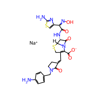 Nc1ccc(CN2CC/C(=C\C3=C(C(=O)[O-])N4C(=O)[C@@H](NC(=O)/C(=N\O)c5csc(N)n5)[C@H]4SC3)C2=O)cc1.[Na+]